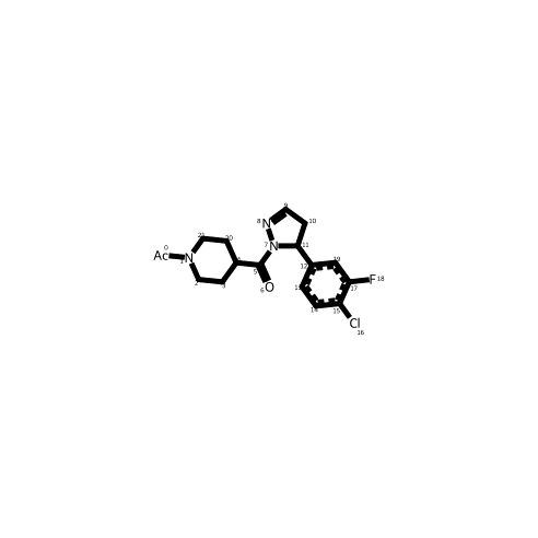 CC(=O)N1CCC(C(=O)N2N=CCC2c2ccc(Cl)c(F)c2)CC1